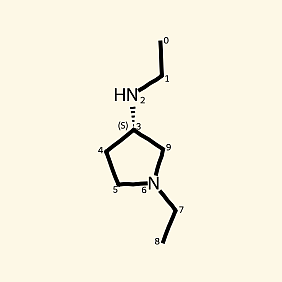 CCN[C@H]1CCN(CC)C1